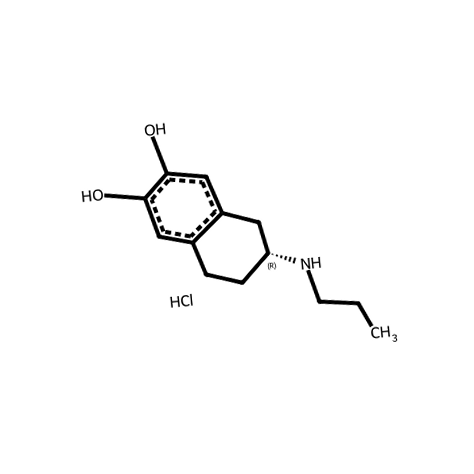 CCCN[C@@H]1CCc2cc(O)c(O)cc2C1.Cl